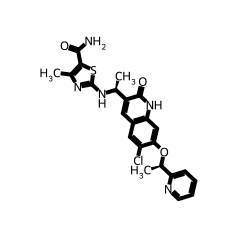 Cc1nc(N[C@@H](C)c2cc3cc(Cl)c(O[C@H](C)c4ccccn4)cc3[nH]c2=O)sc1C(N)=O